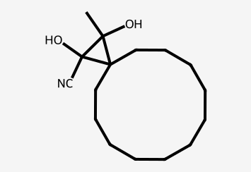 CC1(O)C(O)(C#N)C12CCCCCCCCCCC2